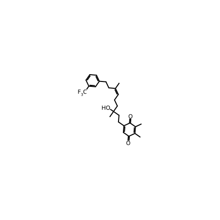 CC(=CCCC(C)(O)CCC1=CC(=O)C(C)=C(C)C1=O)CCc1cccc(C(F)(F)F)c1